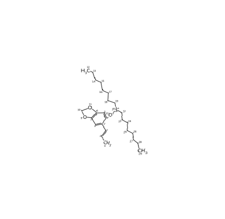 CC=Cc1ccc2c(c1)OCO2.CCCCCCCC[S+]([O-])CCCCCCCC